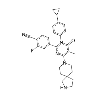 Cc1c(N2CCC3(CCNC3)CC2)nc(-c2ccc(C#N)c(F)c2)n(-c2ccc(C3CC3)cc2)c1=O